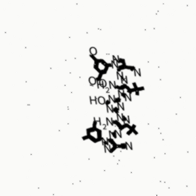 COC(=O)c1cc(C=O)cc(-n2ncc(C#N)c2N=Nc2c(C(C)(C)C)nn(-c3nc(O)nc(-n4nc(C(C)(C)C)c(N=Nc5c(C#N)cnn5-c5cc(C)cc(C)c5)c4N)n3)c2N)c1